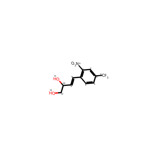 O=[N+]([O-])c1cc(C(F)(F)F)ccc1C=CC(O)CO